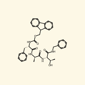 C[C@@H](NC(=O)[C@H](Cc1ccccc1)NC(=O)OCC1c2ccccc2-c2ccccc21)C(=O)N[C@H](C(=O)NCc1ccccc1)[C@@H](C)O